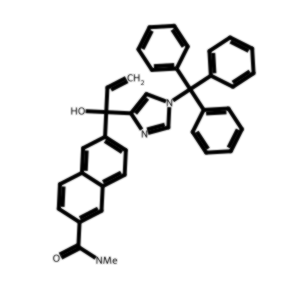 C=CC(O)(c1ccc2cc(C(=O)NC)ccc2c1)c1cn(C(c2ccccc2)(c2ccccc2)c2ccccc2)cn1